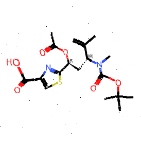 C=C(C)[C@@H](C[C@H](OC(C)=O)c1nc(C(=O)O)cs1)N(C)C(=O)OC(C)(C)C